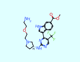 COC(=O)c1ccc2c(-c3nc(N[C@@H]4CCN(CCOCCN)C4)ncc3C(F)(F)F)c[nH]c2c1